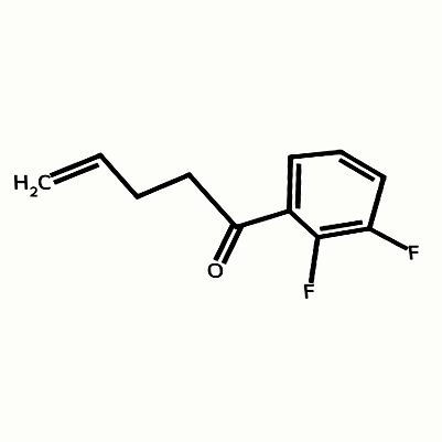 C=CCCC(=O)c1cccc(F)c1F